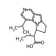 CCC(C(=O)O)C1CCc2cc3cncc(C(C)C)c3n21